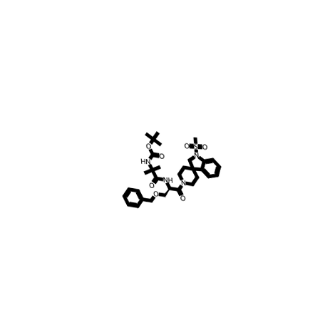 CC(C)(C)OC(=O)NC(C)(C)C(=O)N[C@H](COCc1ccccc1)C(=O)N1CCC2(CC1)CN(S(C)(=O)=O)c1ccccc12